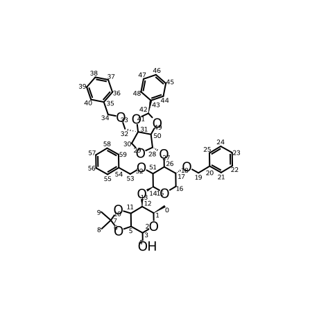 C[C@H]1OC(O)C2OC(C)(C)OC2[C@H]1O[C@@H]1OC[C@@H](OCc2ccccc2)C(O[C@@H]2OC[C@@]3(COCc4ccccc4)O[C@@H](c4ccccc4)OC23)C1OCc1ccccc1